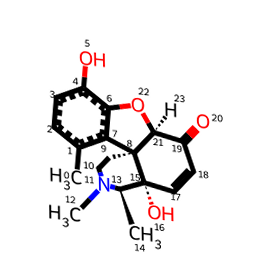 Cc1ccc(O)c2c1[C@]13CCN(C)[C@H](C)[C@]1(O)C=CC(=O)[C@@H]3O2